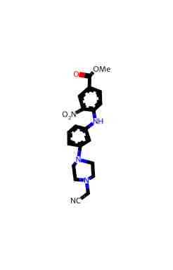 COC(=O)c1ccc(Nc2cccc(N3CCN(CC#N)CC3)c2)c([N+](=O)[O-])c1